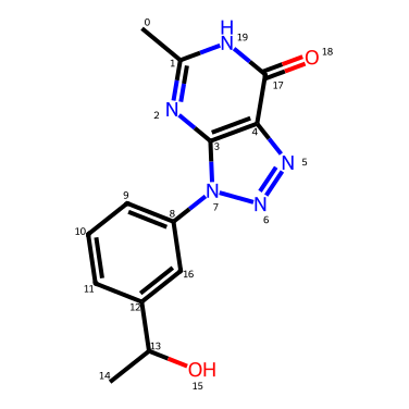 Cc1nc2c(nnn2-c2cccc(C(C)O)c2)c(=O)[nH]1